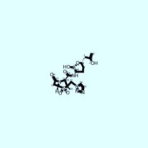 C=C(O)C[C@@H]1CC[C@H](NC(=O)[C@@H]2N3C(=O)C[C@H]3S(=O)(=O)[C@@]2(C)Cn2ccnn2)B(O)O1